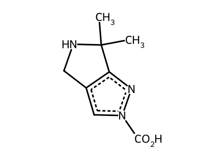 CC1(C)NCc2cn(C(=O)O)nc21